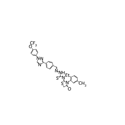 CCc1ccc(C)cc1N1C(=O)CS/C1=N\C(=S)N/N=C/c1ccc(-c2ncn(-c3ccc(OC(F)(F)F)cc3)n2)cc1